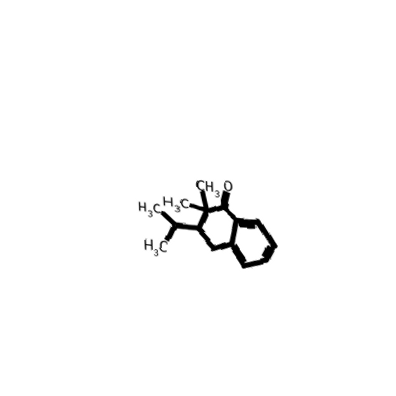 CC(C)C1Cc2ccccc2C(=O)C1(C)C